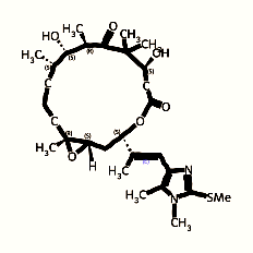 CSc1nc(/C=C(\C)[C@@H]2C[C@@H]3O[C@]3(C)CCC[C@H](C)[C@H](O)[C@@H](C)C(=O)C(C)(C)[C@@H](O)CC(=O)O2)c(C)n1C